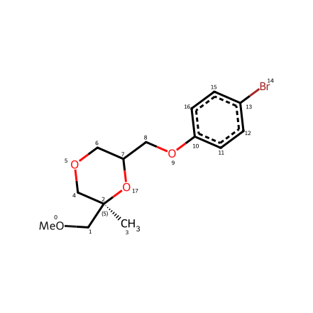 COC[C@@]1(C)COCC(COc2ccc(Br)cc2)O1